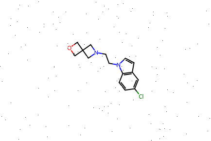 Clc1ccc2c(ccn2CCN2CC3(COC3)C2)c1